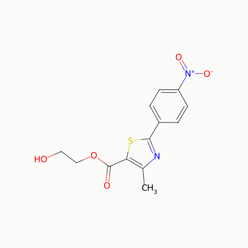 Cc1nc(-c2ccc([N+](=O)[O-])cc2)sc1C(=O)OCCO